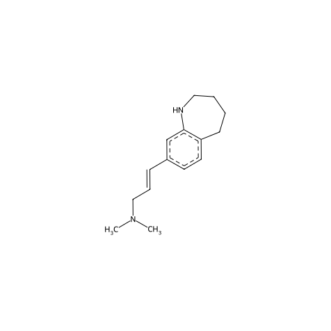 CN(C)C/C=C/c1ccc2c(c1)NCCCC2